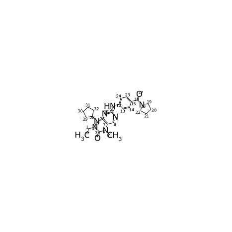 CCN1C(=O)N(C)c2cnc(Nc3ccc(C(=O)N4CCCC4)cc3)nc2N1C1CCCC1